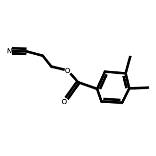 Cc1ccc(C(=O)OCCC#N)cc1C